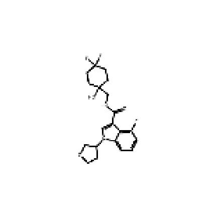 O=C(NCC1(O)CCC(F)(F)CC1)c1cn(C2CCOC2)c2cccc(Cl)c12